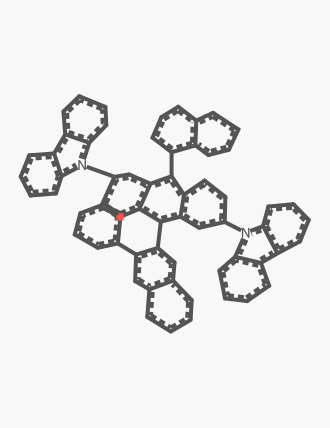 c1ccc(-c2cc3ccccc3cc2-c2c3cc(-n4c5ccccc5c5ccccc54)ccc3c(-c3cccc4ccccc34)c3cc(-n4c5ccccc5c5ccccc54)ccc23)cc1